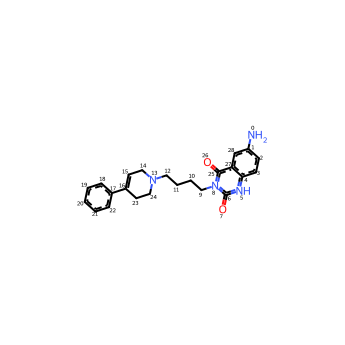 Nc1ccc2[nH]c(=O)n(CCCCN3CC=C(c4ccccc4)CC3)c(=O)c2c1